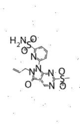 C=CCn1c(=O)c2cnc(S(C)(=O)=O)nc2n1-c1cccc(S(N)(=O)=O)n1